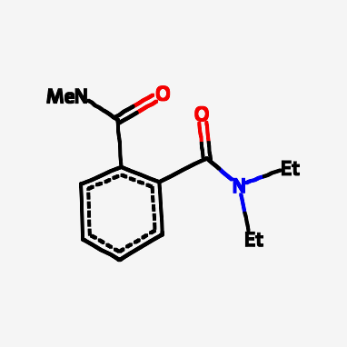 CCN(CC)C(=O)c1ccccc1C(=O)NC